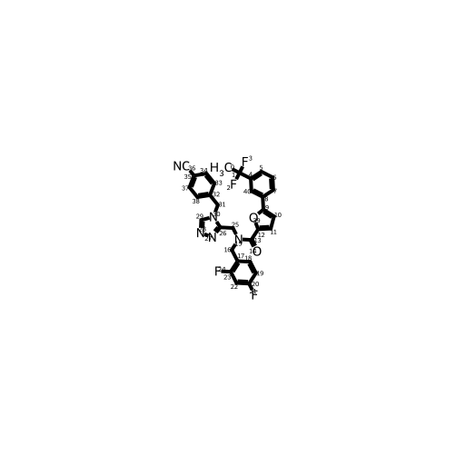 CC(F)(F)c1cccc(-c2ccc(C(=O)N(Cc3ccc(F)cc3F)Cc3nncn3Cc3ccc(C#N)cc3)o2)c1